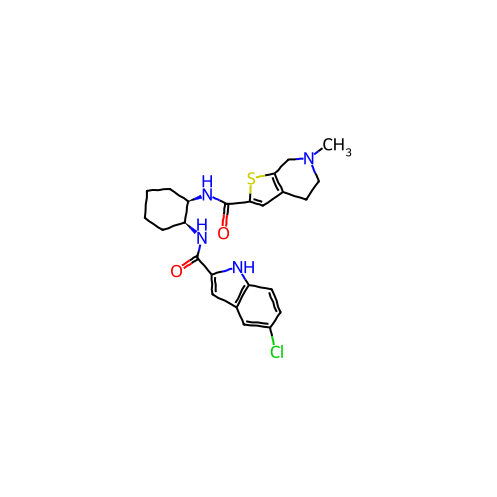 CN1CCc2cc(C(=O)N[C@@H]3CCCC[C@@H]3NC(=O)c3cc4cc(Cl)ccc4[nH]3)sc2C1